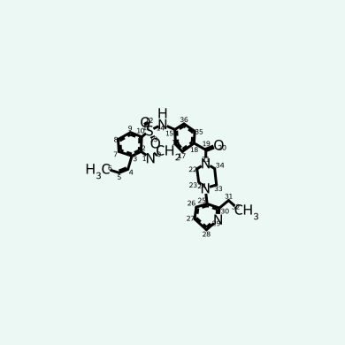 C=Nc1c(/C=C\C)cccc1S(=O)(=O)Nc1ccc(C(=O)N2CCN(c3cccnc3CC)CC2)cc1